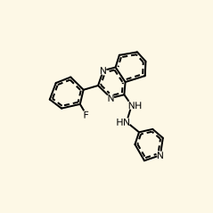 Fc1ccccc1-c1nc(NNc2ccncc2)c2ccccc2n1